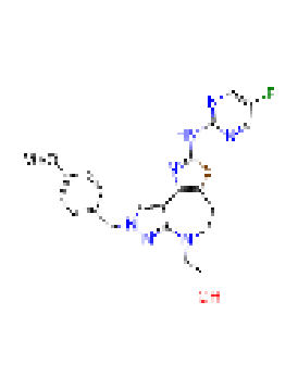 COc1ccc(Cn2cc3c(n2)N(CCO)CCc2sc(Nc4ncc(F)cn4)nc2-3)cc1